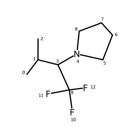 CC(C)C(N1CCCC1)C(F)(F)F